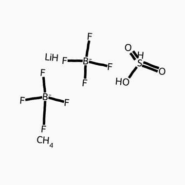 C.F[B-](F)(F)F.F[B-](F)(F)F.O=[SH](=O)O.[LiH]